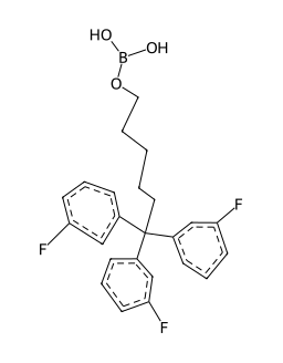 OB(O)OCCCCCC(c1cccc(F)c1)(c1cccc(F)c1)c1cccc(F)c1